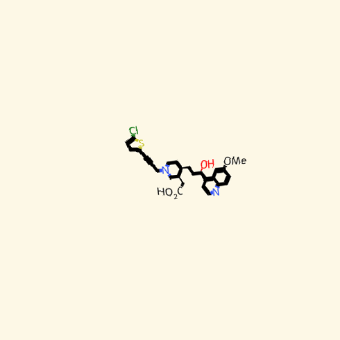 COc1ccc2nccc([C@@H](O)CC[C@@H]3CCN(CC#Cc4ccc(Cl)s4)C[C@@H]3CC(=O)O)c2c1